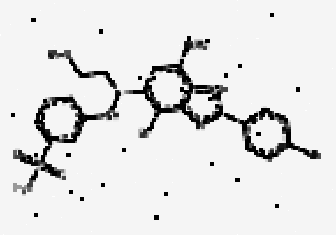 COCCC(Nc1cccc(S(C)(=O)=O)c1)c1cc(OC)c2[nH]c(-c3ccc(C(C)C)cc3)nc2c1Br